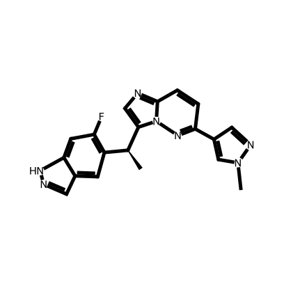 C[C@@H](c1cc2cn[nH]c2cc1F)c1cnc2ccc(-c3cnn(C)c3)nn12